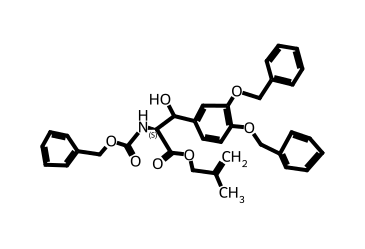 C=C(C)COC(=O)[C@@H](NC(=O)OCc1ccccc1)C(O)c1ccc(OCc2ccccc2)c(OCc2ccccc2)c1